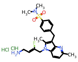 Cc1ccc2c(n1)c(Cc1ccc(S(=O)(=O)N(C)C)cc1)c(C)n2CC(F)=CCN.Cl.Cl